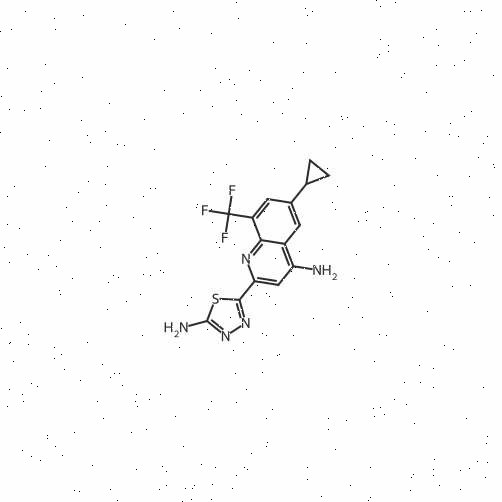 Nc1nnc(-c2cc(N)c3cc(C4CC4)cc(C(F)(F)F)c3n2)s1